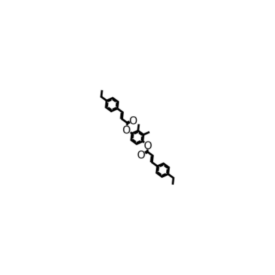 CCc1ccc(/C=C/C(=O)Oc2ccc(OC(=O)/C=C/c3ccc(CC)cc3)c(C)c2C)cc1